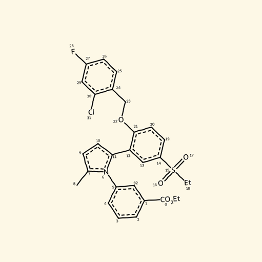 CCOC(=O)c1cccc(-n2c(C)ccc2-c2cc(S(=O)(=O)CC)ccc2OCc2ccc(F)cc2Cl)c1